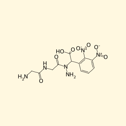 NCC(=O)NCC(=O)N(N)C(C(=O)O)c1cccc([N+](=O)[O-])c1[N+](=O)[O-]